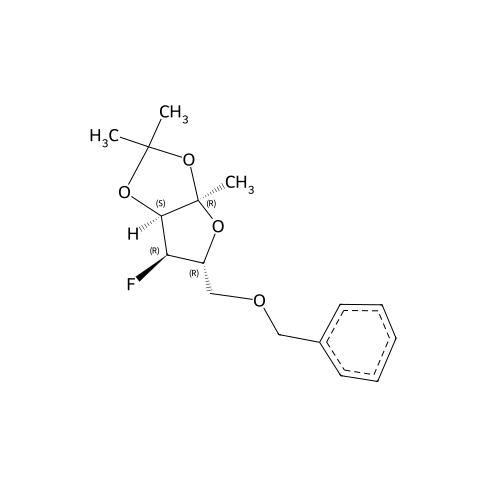 CC1(C)O[C@@H]2[C@H](F)[C@@H](COCc3ccccc3)O[C@]2(C)O1